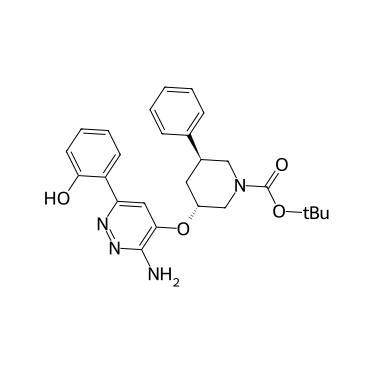 CC(C)(C)OC(=O)N1C[C@H](Oc2cc(-c3ccccc3O)nnc2N)C[C@@H](c2ccccc2)C1